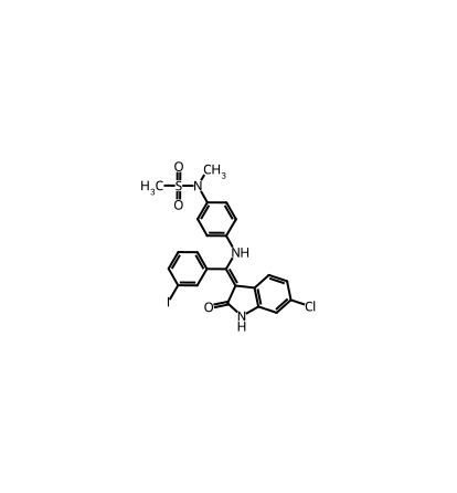 CN(c1ccc(NC(=C2C(=O)Nc3cc(Cl)ccc32)c2cccc(I)c2)cc1)S(C)(=O)=O